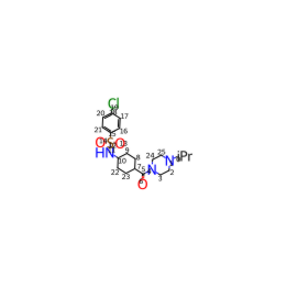 CC(C)N1CCN(C(=O)C2CCC(NS(=O)(=O)c3ccc(Cl)cc3)CC2)CC1